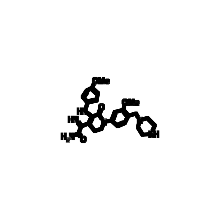 COc1ccc(NC2=C(C(=N)C(N)=O)CCN(c3ccc(CN4CCNCC4)c(OC)c3)C2=O)cc1